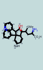 CSC(CC(N)C(=O)O)C(=O)C1C=CC=CC1(c1ccccc1)C(CO)c1cccnc1.[NaH]